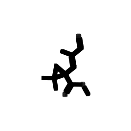 COC(=O)C1(C=C(C)C=O)CC1(C)C